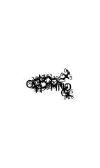 CCC(C)(C)CC[C@]1(CNC(=O)OC(C)(C)C)CC[C@]2(C)C(=CC[C@@H]3[C@@]4(C)C=CC(=O)C(C)(C)[C@@H]4CC[C@]32C)C1